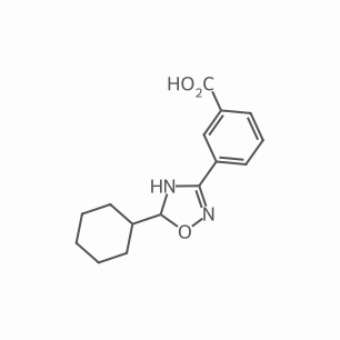 O=C(O)c1cccc(C2=NOC(C3CCCCC3)N2)c1